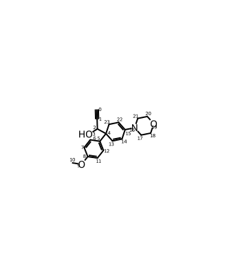 C#CC(O)C1(c2ccc(OC)cc2)C=CC(N2CCOCC2)=CC1